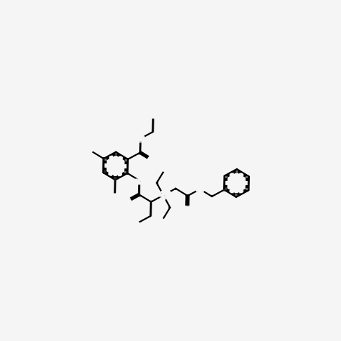 CCOC(=O)c1cc(C)cc(C)c1NC(=O)C(CC)[N+](CC)(CC)CC(=O)OCc1ccccc1